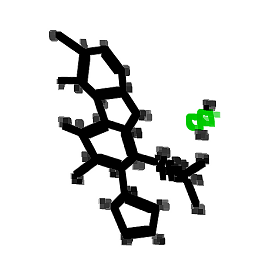 Cc1ccc2c(c1C)-c1c(C)c(C)c(C3=CC=CC3)[c]([Zr+2][SiH](C)C)c1C2.[Cl-].[Cl-]